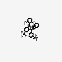 O=C(NC(Cc1ccccc1)(c1cccc(C(F)(F)F)c1)c1cccc(C(F)(F)F)c1)c1c(F)cccc1F